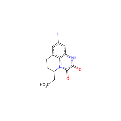 O=C(O)CC1CCc2cc(I)cc3[nH]c(=O)c(=O)n1c23